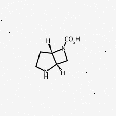 O=C(O)N1C[C@@H]2NCC[C@@H]21